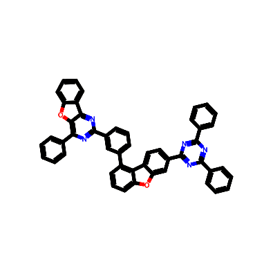 c1ccc(-c2nc(-c3ccccc3)nc(-c3ccc4c(c3)oc3cccc(-c5cccc(-c6nc(-c7ccccc7)c7oc8ccccc8c7n6)c5)c34)n2)cc1